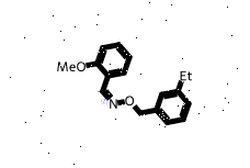 CCc1cccc(CO/N=[C]\c2ccccc2OC)c1